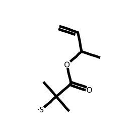 C=CC(C)OC(=O)C(C)(C)[S]